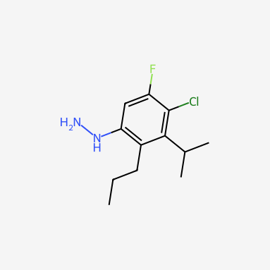 CCCc1c(NN)cc(F)c(Cl)c1C(C)C